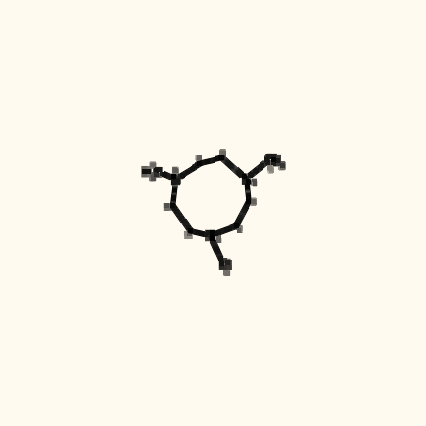 CCN1CCN(C)CCN(C)CC1